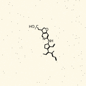 C=C/C=C(C)/C(=C/C)C1=C(C=C)C(Nc2cc3c(cn2)C(CC(=O)O)CO3)CC1